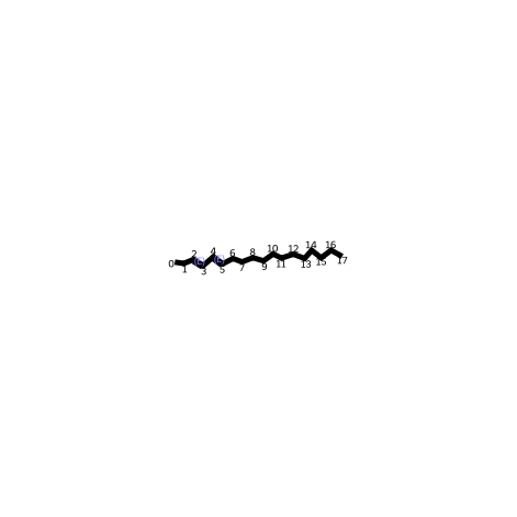 CC/C=C/C=C/CCCCCCCCCCCC